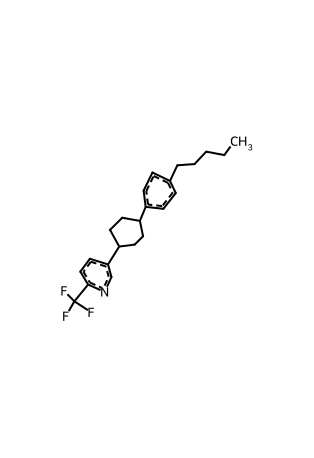 CCCCCc1ccc(C2CCC(c3ccc(C(F)(F)F)nc3)CC2)cc1